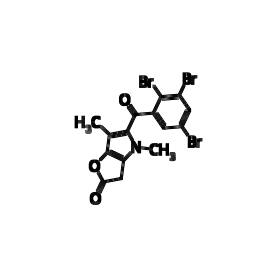 Cc1c2c(n(C)c1C(=O)c1cc(Br)cc(Br)c1Br)CC(=O)O2